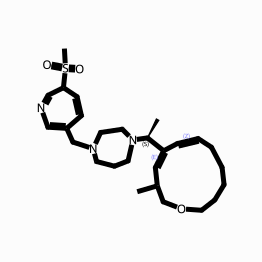 CC1/C=C([C@H](C)N2CCCN(CC3=CN=CC(S(C)(=O)=O)C=C3)CC2)\C=C/CCCCCOC1